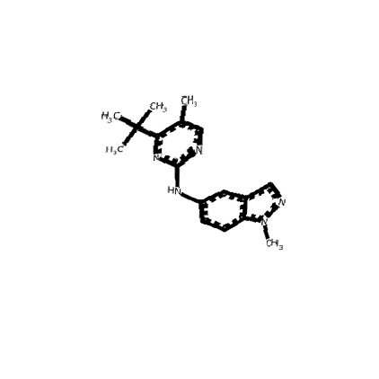 Cc1cnc(Nc2ccc3c(cnn3C)c2)nc1C(C)(C)C